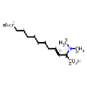 CCCCCCCCCCCCCCCC/C=C/C(C(=O)O)N(C)C